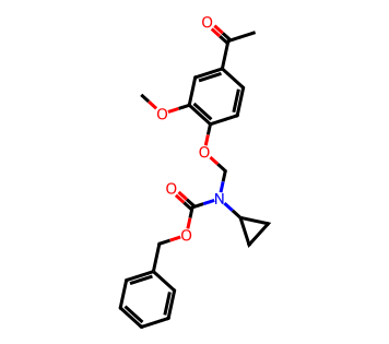 COc1cc(C(C)=O)ccc1OCN(C(=O)OCc1ccccc1)C1CC1